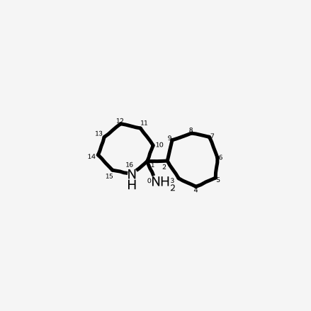 NC1(C2CCCCCCC2)CCCCCCN1